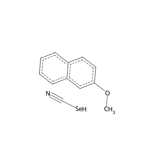 COc1ccc2ccccc2c1.N#C[SeH]